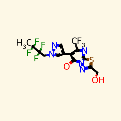 CC(F)(F)C(F)(F)Cn1cc(-c2c(C(F)(F)F)nc3sc(CO)nn3c2=O)cn1